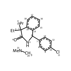 CCCC1(CC)C(=O)NC(c2ccc(Cl)cc2)c2ccccc21.CNC